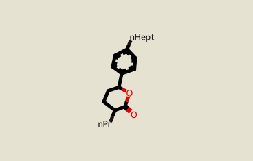 CCCCCCCc1ccc(C2CCC(CCC)C(=O)O2)cc1